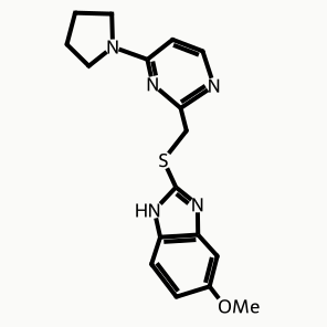 COc1ccc2[nH]c(SCc3nccc(N4CCCC4)n3)nc2c1